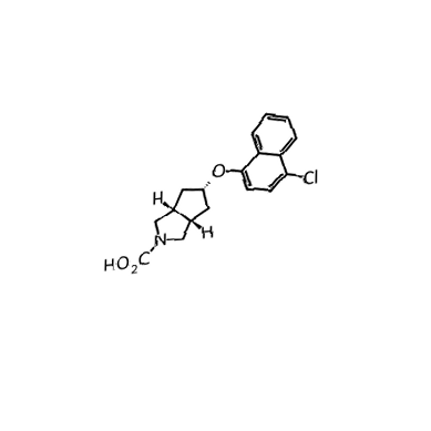 O=C(O)N1C[C@H]2C[C@@H](Oc3ccc(Cl)c4ccccc34)C[C@H]2C1